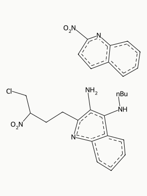 CCCCNc1c(N)c(CCC(CCl)[N+](=O)[O-])nc2ccccc12.O=[N+]([O-])c1ccc2ccccc2n1